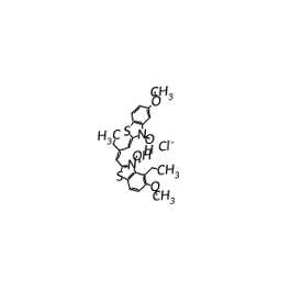 CCC(=Cc1sc2ccc(OC)c(CC)c2[n+]1O)C=C1Sc2ccc(OC)cc2N1O.[Cl-]